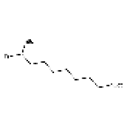 CCCCCCCCCCCCCC[CH]C(CC)CCCC